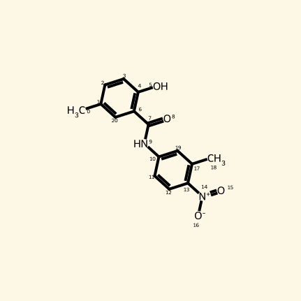 Cc1ccc(O)c(C(=O)Nc2ccc([N+](=O)[O-])c(C)c2)c1